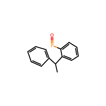 CC(c1ccccc1)c1ccccc1P=O